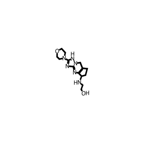 OCCNC1CCC2=C1N=C1N=C(N3CCOCC3)NN1C2